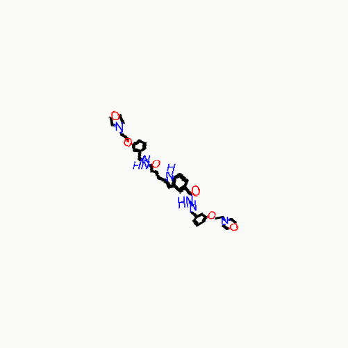 O=C(CCCc1cc2cc(C(=O)NN=Cc3cccc(OCCN4CCOCC4)c3)ccc2[nH]1)NN=Cc1cccc(OCCN2CCOCC2)c1